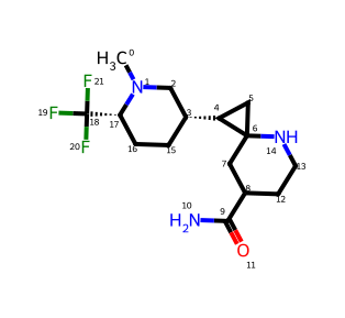 CN1C[C@H](C2CC23CC(C(N)=O)CCN3)CC[C@@H]1C(F)(F)F